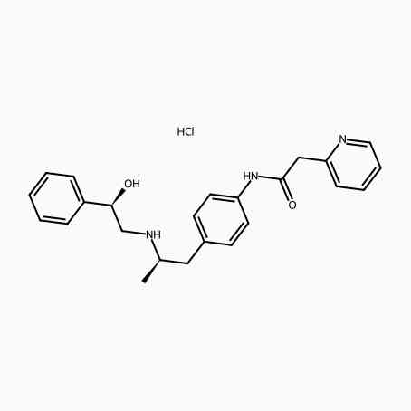 C[C@H](Cc1ccc(NC(=O)Cc2ccccn2)cc1)NC[C@H](O)c1ccccc1.Cl